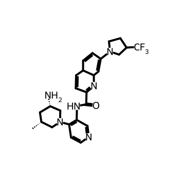 C[C@@H]1C[C@H](N)CN(c2ccncc2NC(=O)C2=NC3C=C(N4CCC(C(F)(F)F)C4)C=CC3C=C2)C1